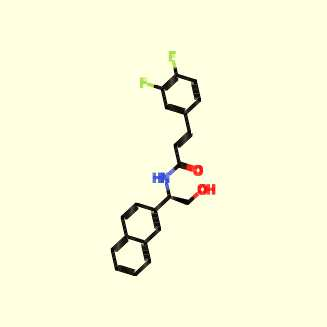 O=C(/C=C/c1ccc(F)c(F)c1)N[C@@H](CO)c1ccc2ccccc2c1